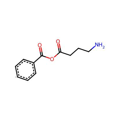 NCCCC(=O)OC(=O)c1cc[c]cc1